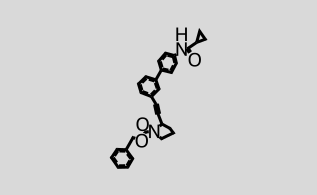 O=C(Nc1ccc(-c2cccc(C#CC3CCCN3C(=O)OCc3ccccc3)c2)cc1)C1CC1